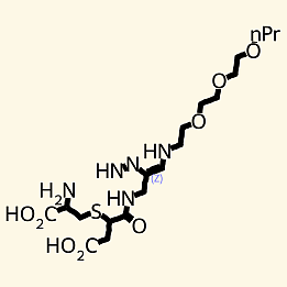 CCCOCCOCCOCCN/C=C(/CNC(=O)C(CC(=O)O)SCC(N)C(=O)O)N=N